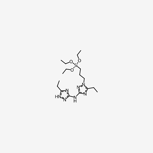 CCO[Si](CCCn1nc(Nc2n[nH]c(CC)n2)nc1CC)(OCC)OCC